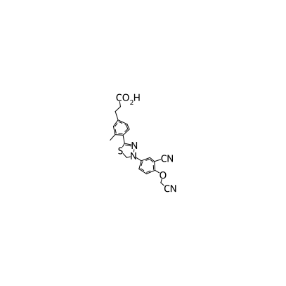 Cc1cc(CCC(=O)O)ccc1C1=NN(c2ccc(OCC#N)c(C#N)c2)CS1